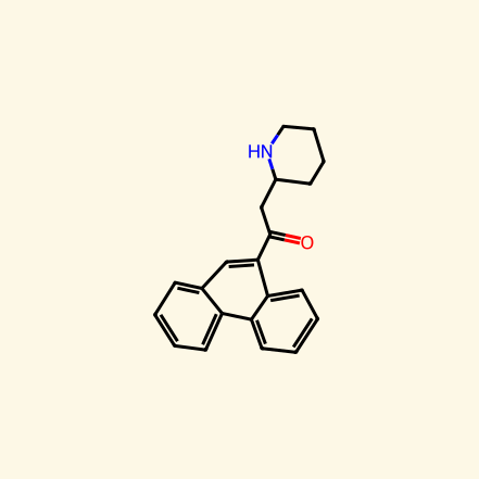 O=C(CC1CCCCN1)c1cc2ccccc2c2ccccc12